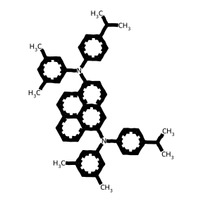 Cc1cc(C)cc(N(c2ccc(C(C)C)cc2)c2cc3ccc(N(c4ccc(C(C)C)cc4)c4cc(C)cc(C)c4)c4ccc5cccc2c5c34)c1